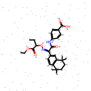 CCOC(=O)C(CC)ON=C(C(=O)Nc1ccc(C(=O)O)cc1)c1ccc2c(c1)C(C)(C)CCC2(C)C